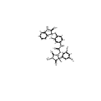 CCN1C(=O)N(CC(=O)Nc2ccc3c(c2)C[C@@]2(C3)C(=O)Nc3ncccc32)C(C)(c2cc(F)cc(F)c2)C1=O